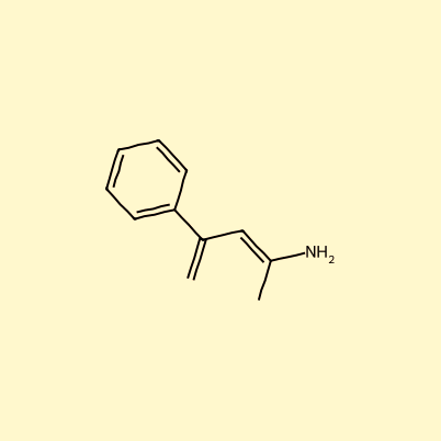 C=C(/C=C(\C)N)c1ccccc1